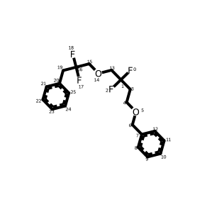 FC(F)(CCOCc1ccccc1)COCC(F)(F)Cc1ccccc1